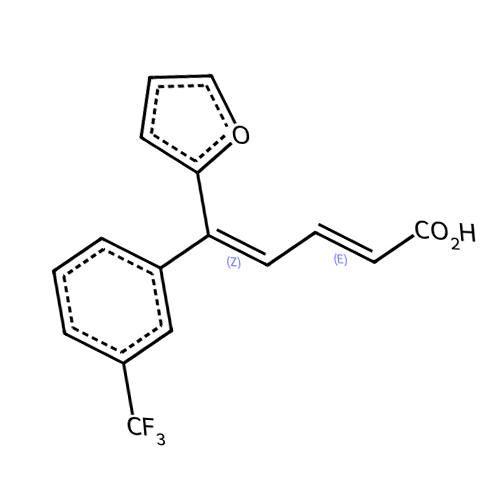 O=C(O)/C=C/C=C(/c1cccc(C(F)(F)F)c1)c1ccco1